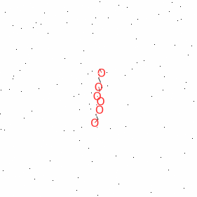 COCCOCOOCOCCOC